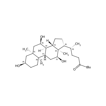 C[C@H](CCC(=O)C(C)(C)C)[C@H]1CC[C@H]2[C@@H]3[C@H](O)C[C@]4(C)C[C@H](O)CC[C@]4(C)[C@H]3C[C@H](O)[C@]12C